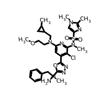 COCCN(CC1CC1C)c1cc(-c2nnc([C@](C)(N)Cc3ccccc3)o2)c(Cl)c(N(C)S(=O)(=O)c2cn(C)c(C)n2)n1